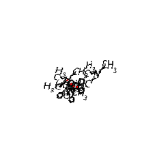 CCCCN(CCCC)CCCC.CCCCN(CCCC)CCCC.C[C@H](C(O)(c1ccccc1)c1ccccc1)[C@]1(C(=O)O)[C@@H](C(=O)O)N(Cc2ccccc2)C(=O)N1Cc1ccccc1